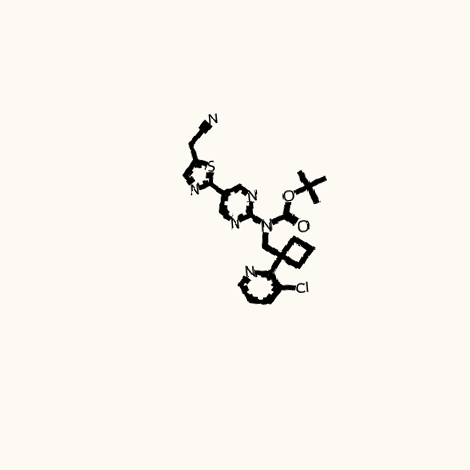 CC(C)(C)OC(=O)N(CC1(c2ncccc2Cl)CCC1)c1ncc(-c2ncc(CC#N)s2)cn1